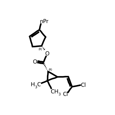 CCCC1=CC[C@@H](OC(=O)[C@@H]2C(C=C(Cl)Cl)C2(C)C)C1